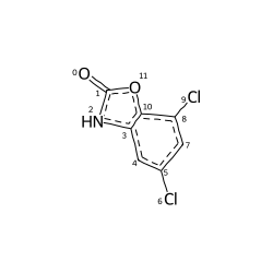 O=c1[nH]c2cc(Cl)cc(Cl)c2o1